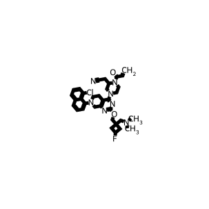 C=CC(=O)N1CCN(c2nc(OCC3(CN(C)C)CC(F)C3)nc3c2CCN(c2cccc4cccc(Cl)c24)C3)CC1CC#N